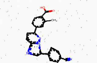 Cc1cc(-c2ccc3ncc(-c4ccc(C#N)cc4)n3n2)ccc1C(=O)O